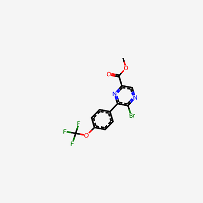 COC(=O)c1cnc(Br)c(-c2ccc(OC(F)(F)F)cc2)n1